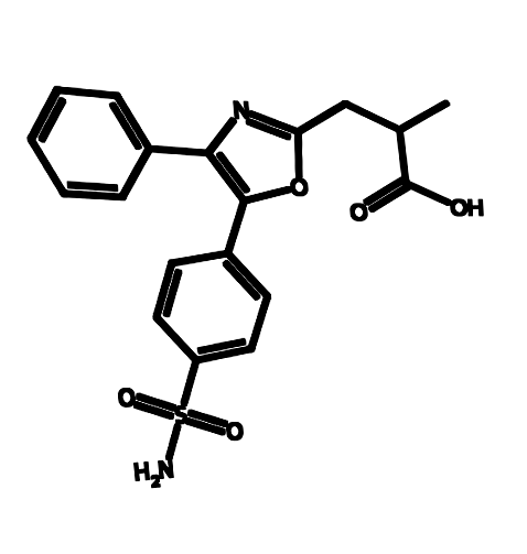 CC(Cc1nc(-c2ccccc2)c(-c2ccc(S(N)(=O)=O)cc2)o1)C(=O)O